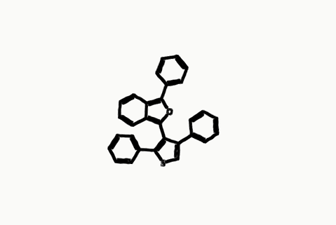 c1ccc(-c2csc(-c3ccccc3)c2-c2oc(-c3ccccc3)c3ccccc23)cc1